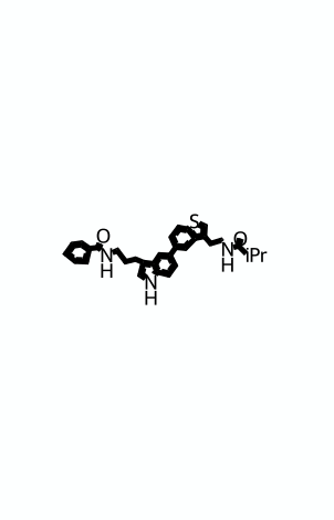 CC(C)C(=O)NCCc1csc2ccc(-c3ccc4[nH]cc(CCCNC(=O)c5ccccc5)c4c3)cc12